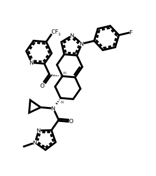 Cn1ccc(C(=O)N(C2CC2)[C@H]2CCC3=Cc4c(cnn4-c4ccc(F)cc4)C[C@]3(C(=O)c3cc(C(F)(F)F)ccn3)C2)n1